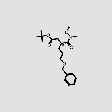 CON(C)C(=O)[C@@H](CCCOCc1ccccc1)CC(=O)OC(C)(C)C